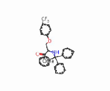 COC(=O)C(COc1ccc(C(F)(F)F)cc1)NC(c1ccccc1)(c1ccccc1)c1ccccc1